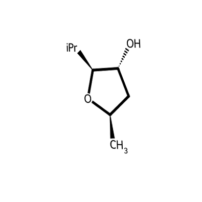 CC(C)[C@@H]1O[C@H](C)C[C@H]1O